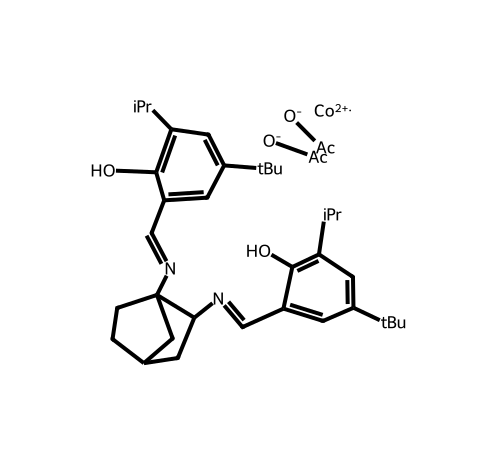 CC(=O)[O-].CC(=O)[O-].CC(C)c1cc(C(C)(C)C)cc(C=NC2CC3CCC2(N=Cc2cc(C(C)(C)C)cc(C(C)C)c2O)C3)c1O.[Co+2]